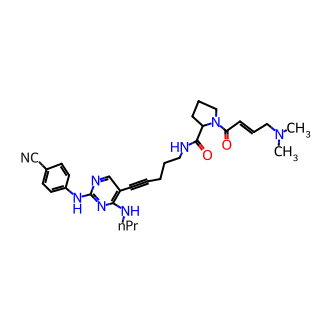 CCCNc1nc(Nc2ccc(C#N)cc2)ncc1C#CCCCNC(=O)C1CCCN1C(=O)C=CCN(C)C